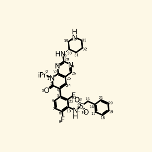 CC(C)n1c(=O)c(-c2ccc(F)c(NS(=O)(=O)Cc3ccccc3)c2F)cc2cnc(N[C@H]3CCCNC3)nc21